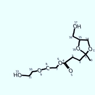 CC1(CCC(=O)OCCOCCO)OCC(CO)O1